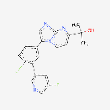 CC(C)(O)c1ccn2c(-c3ccc(F)c(-c4cncc(F)c4)c3)cnc2n1